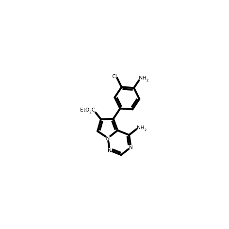 CCOC(=O)c1cn2ncnc(N)c2c1-c1ccc(N)c(Cl)c1